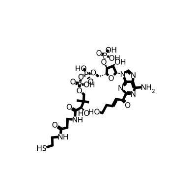 CC(C)(COP(=O)(O)OP(=O)(O)OC[C@H]1O[C@@H](n2cnc3c(N)nc(C(=O)C=CCCO)nc32)[C@H](O)[C@@H]1OP(=O)(O)O)[C@@H](O)C(=O)NCCC(=O)NCCS